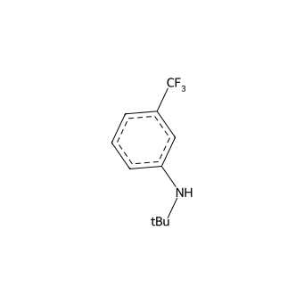 CC(C)(C)Nc1cccc(C(F)(F)F)c1